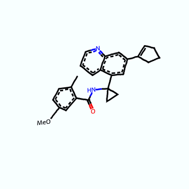 COc1ccc(C)c(C(=O)NC2(c3cc(C4=CCCC4)cc4ncccc34)CC2)c1